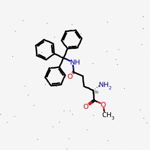 COC(=O)[C@@H](N)CCC(=O)NC(c1ccccc1)(c1ccccc1)c1ccccc1